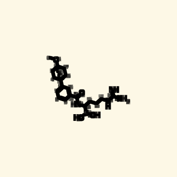 COC12CCC(c3cccc(C(=O)NC(CCCNC(=N)N)B(O)O)c3)(CC1)CC2